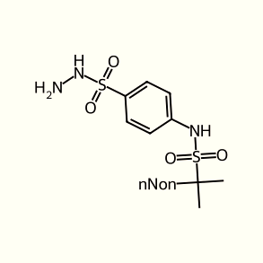 CCCCCCCCCC(C)(C)S(=O)(=O)Nc1ccc(S(=O)(=O)NN)cc1